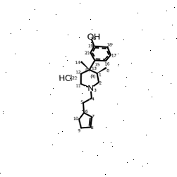 C[C@H]1CN(CCC2C=CCC2)CC[C@]1(C)c1cccc(O)c1.Cl